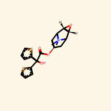 C[N+]1(C)C2C[C@@H](OC(=O)C(O)(c3cccs3)c3cccs3)CC1[C@@H]1O[C@H]21